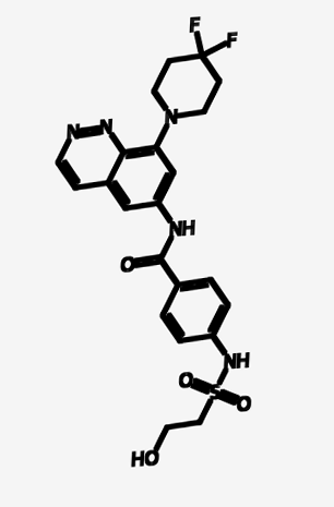 O=C(Nc1cc(N2CCC(F)(F)CC2)c2nnccc2c1)c1ccc(NS(=O)(=O)CCO)cc1